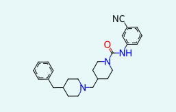 N#Cc1cccc(NC(=O)N2CCC(CN3CCC(Cc4ccccc4)CC3)CC2)c1